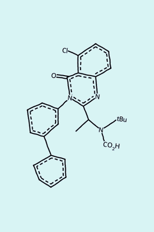 CC(c1nc2cccc(Cl)c2c(=O)n1-c1cccc(-c2ccccc2)c1)N(C(=O)O)C(C)(C)C